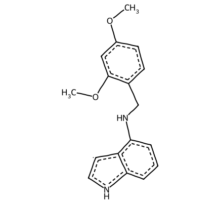 COc1ccc(CNc2cccc3[nH]c[c]c23)c(OC)c1